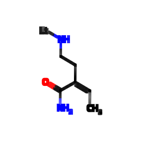 CC=C(CCNCC)C(N)=O